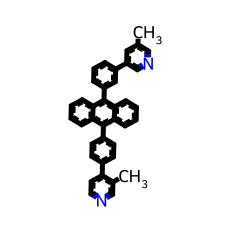 Cc1cncc(-c2cccc(-c3c4ccccc4c(-c4ccc(-c5ccncc5C)cc4)c4ccccc34)c2)c1